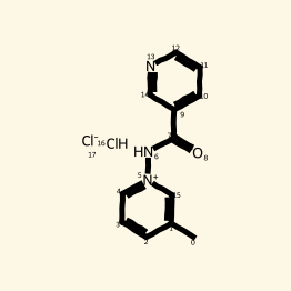 Cc1ccc[n+](NC(=O)c2cccnc2)c1.Cl.[Cl-]